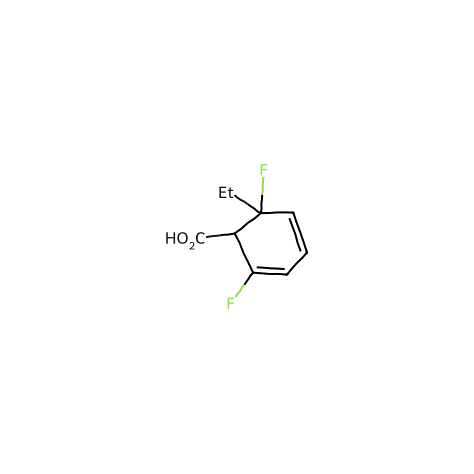 CCC1(F)C=CC=C(F)C1C(=O)O